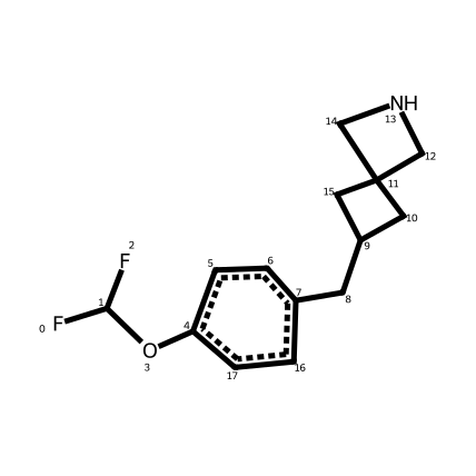 FC(F)Oc1ccc(CC2CC3(CNC3)C2)cc1